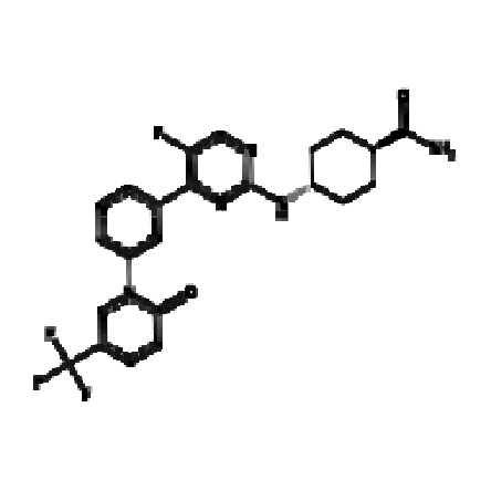 NC(=O)[C@H]1CC[C@H](Nc2ncc(F)c(-c3cccc(-n4cc(C(F)(F)F)ccc4=O)c3)n2)CC1